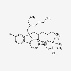 CCCCC(CC)CC1(CC(CC)CCCC)c2cc(Br)ccc2-c2ccc(B3OC(C)(C)C(C)(C)O3)cc21